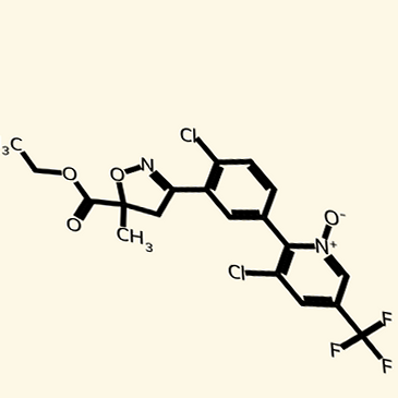 CCOC(=O)C1(C)CC(c2cc(-c3c(Cl)cc(C(F)(F)F)c[n+]3[O-])ccc2Cl)=NO1